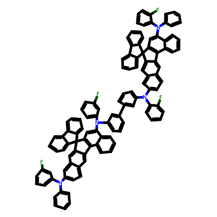 Fc1cccc(N(c2ccccc2)c2ccc3cc4c(cc3c2)C2(c3ccccc3-c3ccccc32)c2cc(N(c3cccc(F)c3)c3cccc(-c5cccc(N(c6ccc7cc8c(cc7c6)C6(c7ccccc7-c7ccccc76)c6cc(N(c7ccccc7)c7ccccc7F)c7ccccc7c6-8)c6ccccc6F)c5)c3)c3ccccc3c2-4)c1